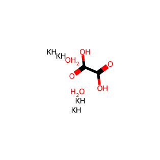 O.O.O=C(O)C(=O)O.[KH].[KH].[KH].[KH]